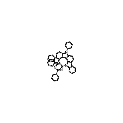 c1ccc(-c2nc(-c3ccccc3)nc(-n3c4ccccc4c4ccc5c(c6c7oc8ccccc8c7ccc6n5-c5ccccc5)c43)n2)cc1